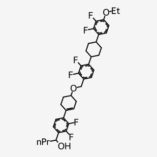 CCCC(O)c1ccc(C2=CCC(OCc3ccc(C4CCC(c5ccc(OCC)c(F)c5F)CC4)c(F)c3F)CC2)c(F)c1F